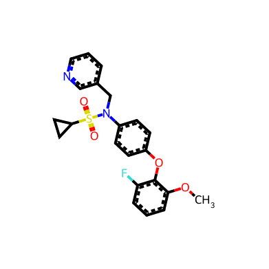 COc1cccc(F)c1Oc1ccc(N(Cc2cccnc2)S(=O)(=O)C2CC2)cc1